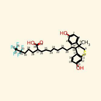 CC1(c2ccc(O)cc2)CSc2cc(O)ccc2C1CCCCCCCCC(CCCC(F)(F)C(F)(F)F)C(=O)O